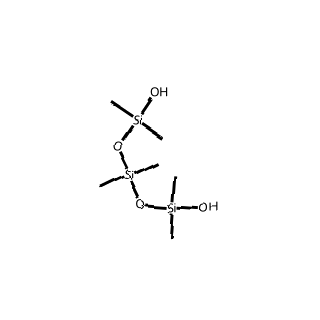 C[Si](C)(O)O[Si](C)(C)O[Si](C)(C)O